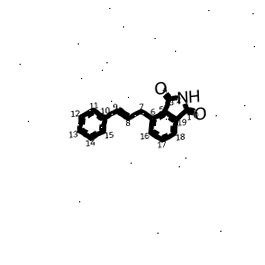 O=C1NC(=O)c2c(CC=Cc3ccccc3)cccc21